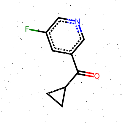 O=C(c1cncc(F)c1)C1CC1